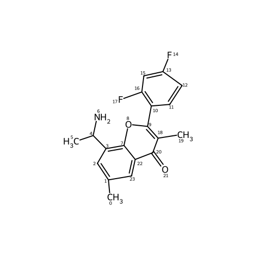 Cc1cc(C(C)N)c2oc(-c3ccc(F)cc3F)c(C)c(=O)c2c1